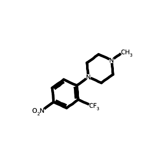 CN1CCN(c2ccc([N+](=O)[O-])cc2C(F)(F)F)CC1